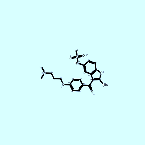 CCCCc1oc2ccc(NS(C)(=O)=O)cc2c1C(=O)c1ccc(OCCCN(C)C)cc1